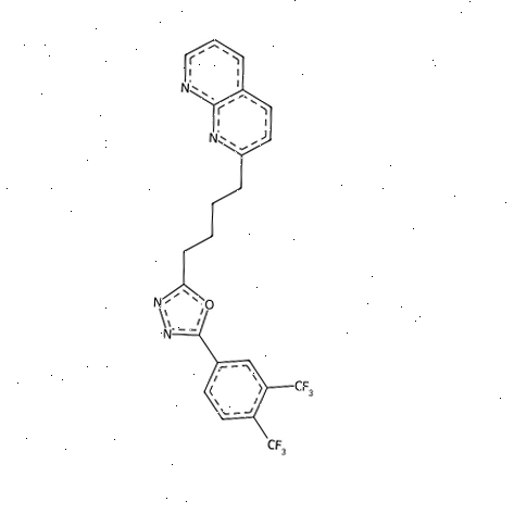 FC(F)(F)c1ccc(-c2nnc(CCCCc3ccc4cccnc4n3)o2)cc1C(F)(F)F